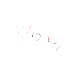 Cc1cc(S(=O)(=O)N[C@H](C)C2CCNCC2)ccc1NC(=O)c1cccs1